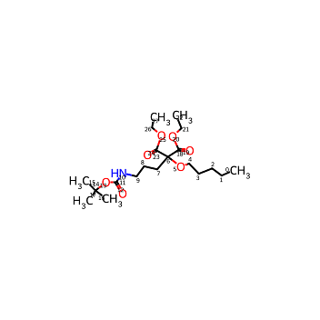 CCCCCOC(CCCNC(=O)OC(C)(C)C)(C(=O)OCC)C(=O)OCC